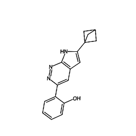 Oc1ccccc1-c1cc2cc(C34CC(C3)C4)[nH]c2nn1